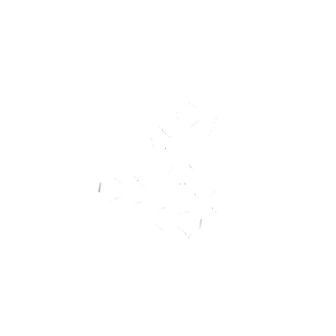 Cc1ccc(S(=O)(=O)O)cc1.Cn1c(=O)n(-c2ccc(-n3ccnc3)c(Cl)c2)c2c3cc(-c4cnc5ccccc5c4)ccc3ncc21